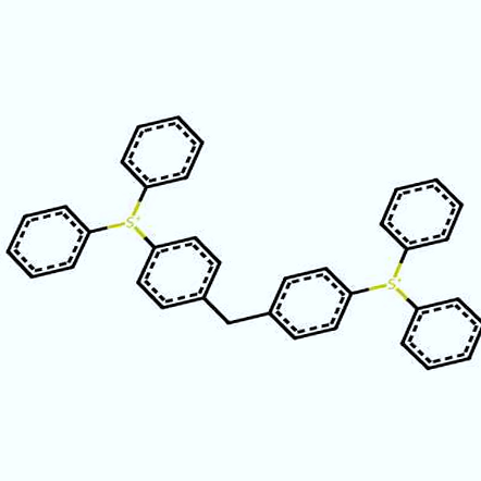 c1ccc([S+](c2ccccc2)c2ccc(Cc3ccc([S+](c4ccccc4)c4ccccc4)cc3)cc2)cc1